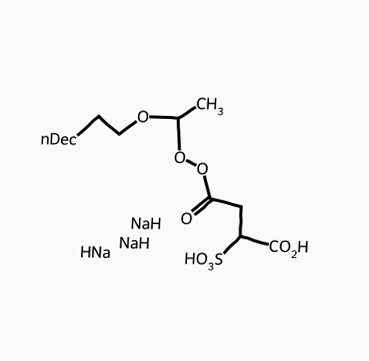 CCCCCCCCCCCCOC(C)OOC(=O)CC(C(=O)O)S(=O)(=O)O.[NaH].[NaH].[NaH]